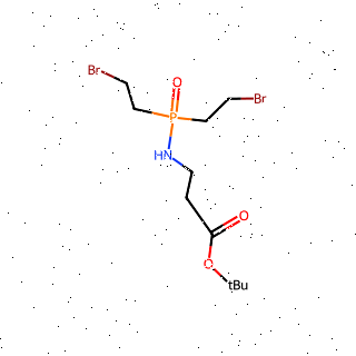 CC(C)(C)OC(=O)CCNP(=O)(CCBr)CCBr